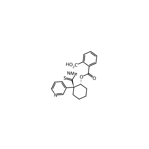 CNC(=S)[C@]1(c2cccnc2)CCCC[C@H]1OC(=O)c1ccccc1C(=O)O